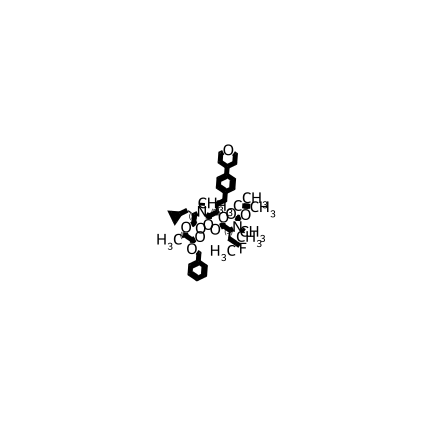 C[C@@H](OC(=O)[C@H](CC1CC1)N(C)C(=O)[C@@H](CCc1ccc(C2CCOCC2)cc1)OC(=O)[C@H](CC(C)(C)F)N(C)C(=O)OC(C)(C)C)C(=O)OCc1ccccc1